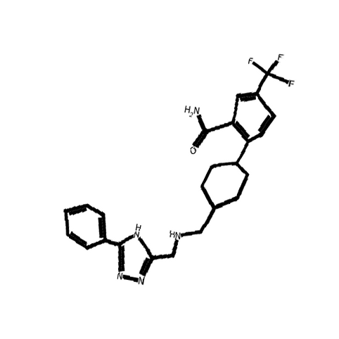 NC(=O)c1cc(C(F)(F)F)ccc1C1CCC(CNCc2nnc(-c3ccccc3)[nH]2)CC1